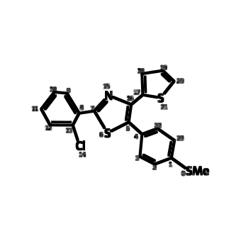 CSc1ccc(-c2sc(-c3ccccc3Cl)nc2-c2cccs2)cc1